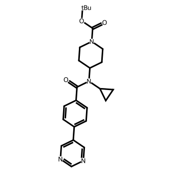 CC(C)(C)OC(=O)N1CCC(N(C(=O)c2ccc(-c3cncnc3)cc2)C2CC2)CC1